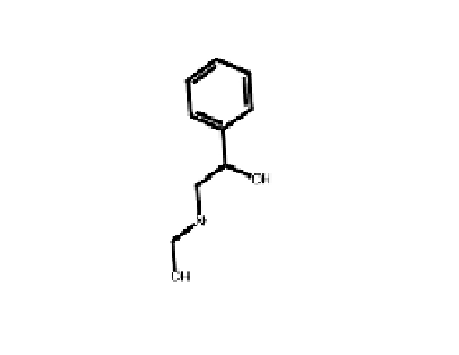 OC[N]CC(O)c1ccccc1